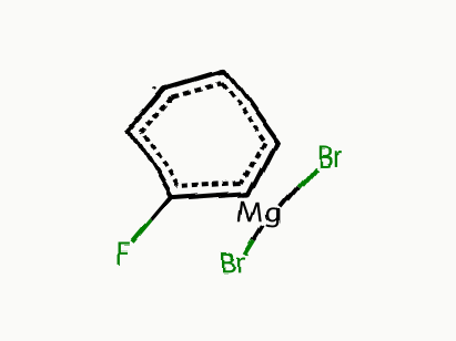 Fc1c[c]ccc1.[Br][Mg][Br]